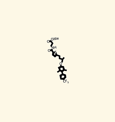 COC(=O)CCNC(=O)c1ccc(CCC(C)COc2cc(C)c(-c3ccc(C(F)(F)F)cc3)c(C)c2)s1